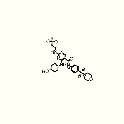 CS(=O)(=O)CCNc1ncc(C(=O)Nc2ccc(S(=O)(=O)N3CCOCC3)cc2)c(N[C@H]2CC[C@H](O)CC2)n1